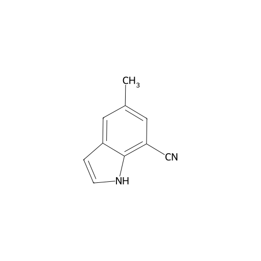 Cc1cc(C#N)c2[nH]ccc2c1